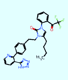 CCCCc1cn(-c2ccccc2C(=O)C(F)(F)F)c(=O)n1CCc1ccc(-c2ncccc2-c2nnn[nH]2)cc1